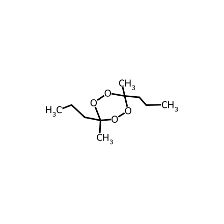 CCCC1(C)OOC(C)(CCC)OO1